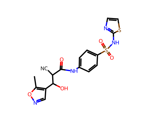 Cc1oncc1C(O)C(C#N)C(=O)Nc1ccc(S(=O)(=O)Nc2nccs2)cc1